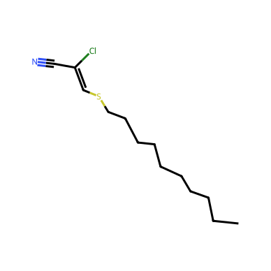 CCCCCCCCCCS/C=C(\Cl)C#N